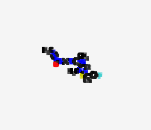 CCc1nn2c(C)cc(N3CC4(CN(C(=O)N5CCN(C)CC5)C4)C3)cc2c1N(C)c1nc(-c2ccc(F)cc2)c(C#N)s1